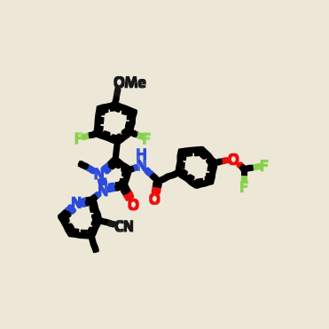 COc1cc(F)c(-c2c(NC(=O)c3ccc(OC(F)F)cc3)c(=O)n(-c3nccc(C)c3C#N)n2C)c(F)c1